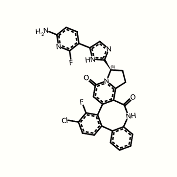 Nc1ccc(-c2cnc([C@H]3CCc4c5c(cc(=O)n43)-c3c(ccc(Cl)c3F)-c3ccccc3NC5=O)[nH]2)c(F)n1